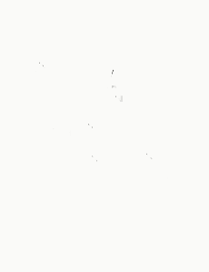 C[C@@H](Nc1ncnc2cn(CC3CCCC3)cc12)c1cc(N)cc(C(F)(F)F)c1